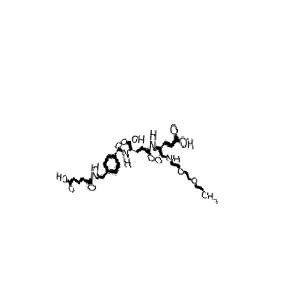 CCCOCCOCCNC(=O)[C@H](CCC(=O)O)NC(=O)CC[C@H](NC(=O)[C@H]1CC[C@@H](CNC(=O)CCCC(=O)O)CC1)C(=O)O